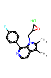 Cc1c(C)n(CC2CO2)c2c(-c3ccc(F)cc3)nccc12.Cl